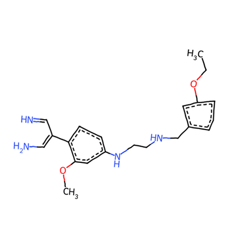 CCOc1cccc(CNCCNc2ccc(/C(C=N)=C/N)c(OC)c2)c1